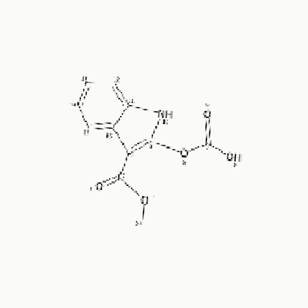 COC(=O)c1c(OC(=O)O)[nH]c2ccccc12